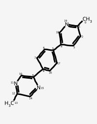 Cc1ccc(-c2ccc(-c3cnc(C)cn3)cc2)cn1